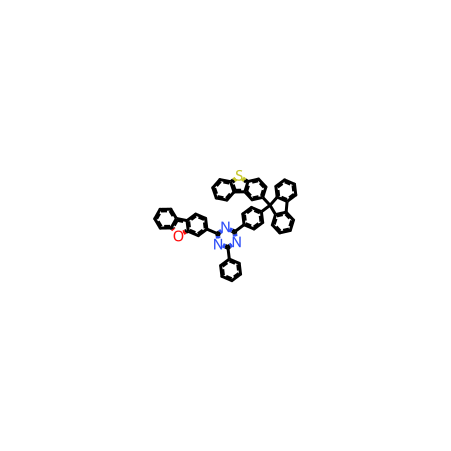 c1ccc(-c2nc(-c3ccc(C4(c5ccc6sc7ccccc7c6c5)c5ccccc5-c5ccccc54)cc3)nc(-c3ccc4c(c3)oc3ccccc34)n2)cc1